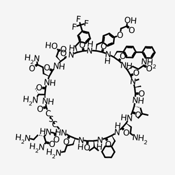 CC(C)C[C@H]1NC(=O)[C@H](C)N(C)C(=O)[C@H](CCC(N)=O)NC(=O)[C@H](Cc2ccc(-c3ccccc3)cc2)NC(=O)[C@H](Cc2ccc(OCC(=O)O)cc2)NC(=O)[C@H](Cc2cccc(C(F)(F)F)c2)NC(=O)[C@H](CC(=O)O)NC(=O)[C@H](CCC(N)=O)NC(=O)[C@H]([C@@H](C)N)NC(=O)CSC[C@@H](C(=O)N[C@@H](CCN)C(N)=O)NC(=O)[C@H](CCCN)NC(=O)[C@H](C(C)C)NC(=O)[C@H](CC2CCCCC2)NC(=O)[C@H](CCN)NC1=O